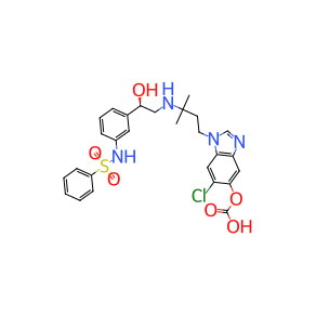 CC(C)(CCn1cnc2cc(OC(=O)O)c(Cl)cc21)NC[C@H](O)c1cccc(NS(=O)(=O)c2ccccc2)c1